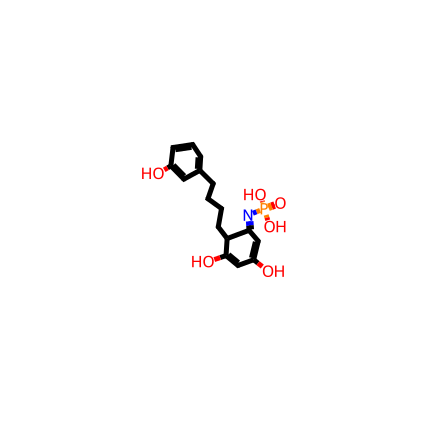 O=P(O)(O)N=C1C=C(O)C=C(O)C1CCCCc1cccc(O)c1